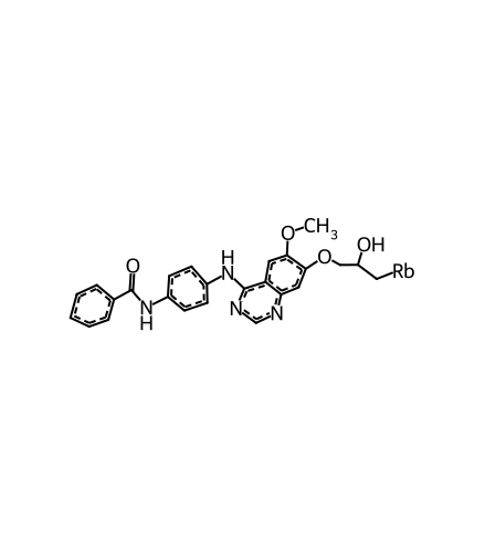 COc1cc2c(Nc3ccc(NC(=O)c4ccccc4)cc3)ncnc2cc1OCC(O)[CH2][Rb]